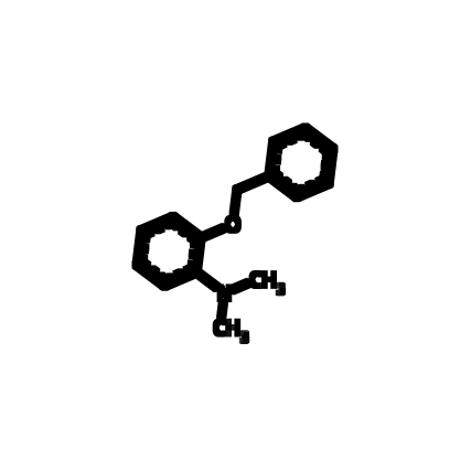 CN(C)c1ccccc1OCc1ccccc1